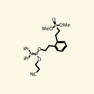 COP(=O)(CCc1ccccc1CCOP(OCCC#N)N(C(C)C)C(C)C)OC